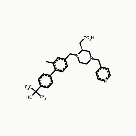 Cc1cc(CN2CCN(Cc3ccncc3)C[C@@H]2CC(=O)O)ccc1-c1ccc(C(O)(C(F)(F)F)C(F)(F)F)cc1